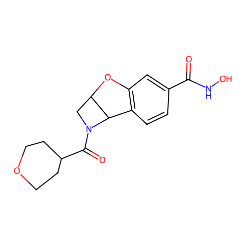 O=C(NO)c1ccc2c(c1)OC1CN(C(=O)C3CCOCC3)C21